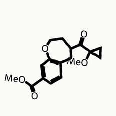 COC(=O)c1ccc2c(c1)OCCC(C(=O)C1(OC)CC1)C2